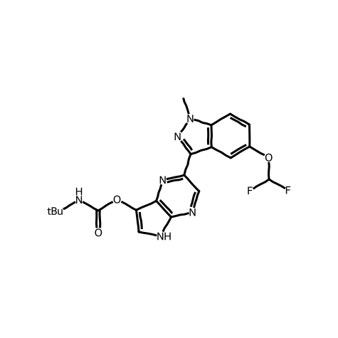 Cn1nc(-c2cnc3[nH]cc(OC(=O)NC(C)(C)C)c3n2)c2cc(OC(F)F)ccc21